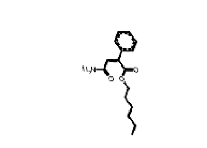 CCCCCCOC(=O)C(=CC(N)=O)c1ccccc1